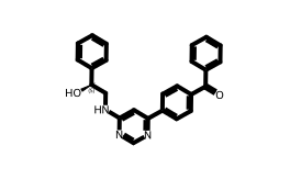 O=C(c1ccccc1)c1ccc(-c2cc(NC[C@@H](O)c3ccccc3)ncn2)cc1